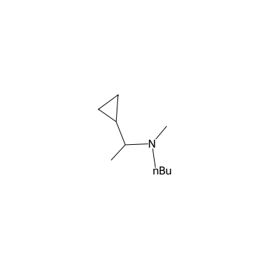 CCCCN(C)C(C)C1CC1